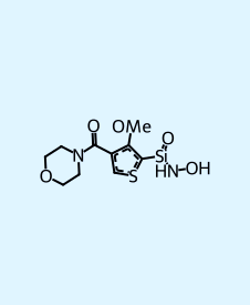 COc1c(C(=O)N2CCOCC2)csc1[Si](=O)NO